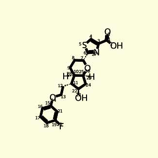 O=C(O)c1csc([C@H]2CC[C@@H]3[C@@H](CCOc4cccc(F)c4)[C@H](O)C[C@@H]3O2)n1